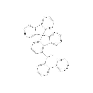 CN(c1ccccc1-c1ccccc1)c1cccc2c1-c1ccccc1C21c2ccccc2-c2ccccc21